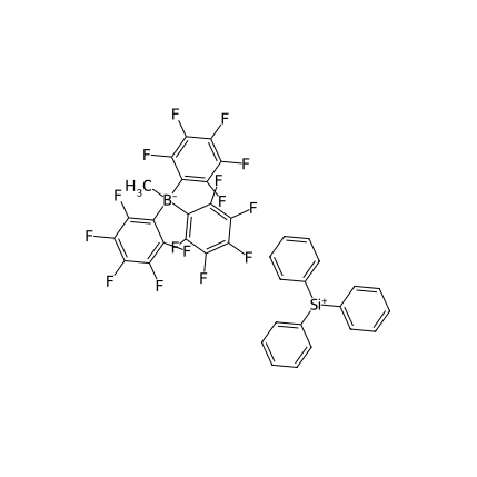 C[B-](c1c(F)c(F)c(F)c(F)c1F)(c1c(F)c(F)c(F)c(F)c1F)c1c(F)c(F)c(F)c(F)c1F.c1ccc([Si+](c2ccccc2)c2ccccc2)cc1